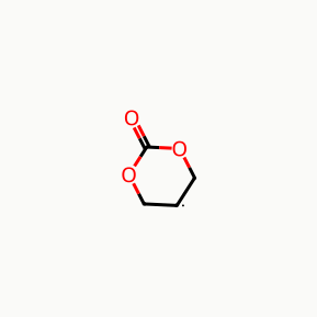 O=C1OC[CH]CO1